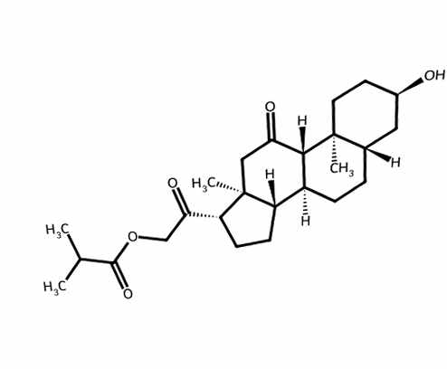 CC(C)C(=O)OCC(=O)[C@H]1CC[C@H]2[C@@H]3CC[C@H]4C[C@H](O)CC[C@]4(C)[C@H]3C(=O)C[C@]12C